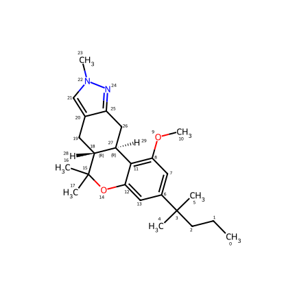 CCCC(C)(C)c1cc(OC)c2c(c1)OC(C)(C)[C@@H]1Cc3cn(C)nc3C[C@@H]21